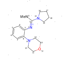 CN/C(=N\c1ccccc1N1CCOCC1)N1CCCC1